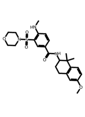 CNc1ccc(C(=O)NC2CCc3cc(OC)ccc3C2(C)C)cc1S(=O)(=O)N1CCOCC1